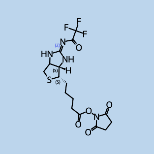 O=C(CCCC[C@@H]1SCC2N/C(=N/C(=O)C(F)(F)F)N[C@@H]21)ON1C(=O)CCC1=O